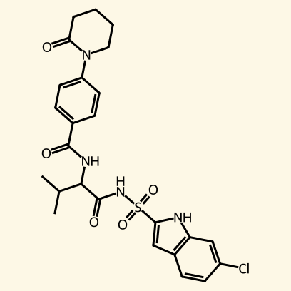 CC(C)C(NC(=O)c1ccc(N2CCCCC2=O)cc1)C(=O)NS(=O)(=O)c1cc2ccc(Cl)cc2[nH]1